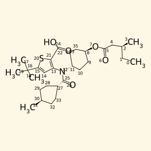 CC[C@H](C)CC(=O)O[C@H]1CC[C@H](N(c2cc(C(C)(C)C)sc2C(=O)O)C(=O)[C@H]2CC[C@H](C)CC2)CC1